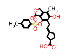 Cc1ccc(S(=O)(=O)Oc2c(CC=C3CCC(C(=O)O)C3)c(O)c(C)c3c2C(=O)OC3)cc1